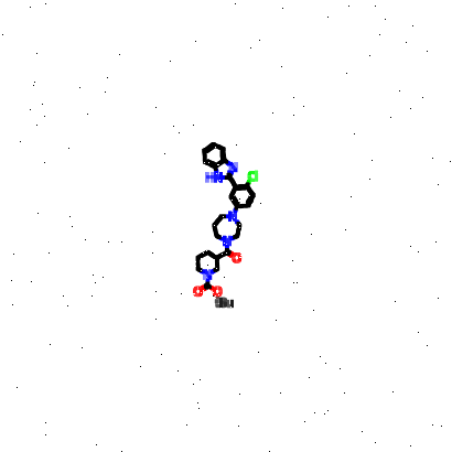 CC(C)(C)OC(=O)N1CCCC(C(=O)N2CCCN(c3ccc(Cl)c(-c4nc5ccccc5[nH]4)c3)CC2)C1